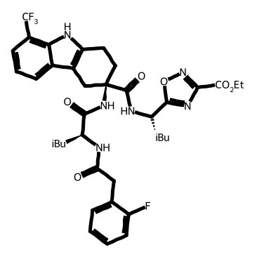 CCOC(=O)c1noc(C(NC(=O)[C@@]2(NC(=O)[C@@H](NC(=O)Cc3ccccc3F)C(C)CC)CCc3[nH]c4c(C(F)(F)F)cccc4c3C2)[C@@H](C)CC)n1